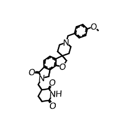 COc1ccc(CN2CCC3(CC2)COc2c3ccc3c2CN(CC2CCC(=O)NC2=O)C3=O)cc1